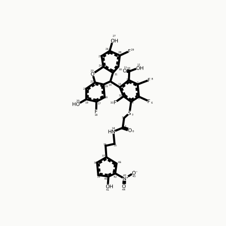 O=C(CSc1c(F)c(F)c(C(=O)O)c(C2c3cc(F)c(O)cc3Oc3cc(O)c(F)cc32)c1F)NCCc1ccc(O)c([N+](=O)[O-])c1